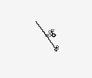 CCCCCCCCC=CCCCCCCCCCCCC(=O)[N+](C)(C)C.O=C([O-])c1ccccc1O